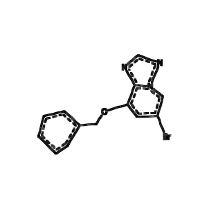 Brc1cc(OCc2ccccc2)c2ncnn2c1